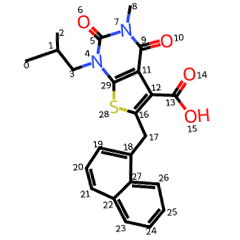 CC(C)Cn1c(=O)n(C)c(=O)c2c(C(=O)O)c(Cc3cccc4ccccc34)sc21